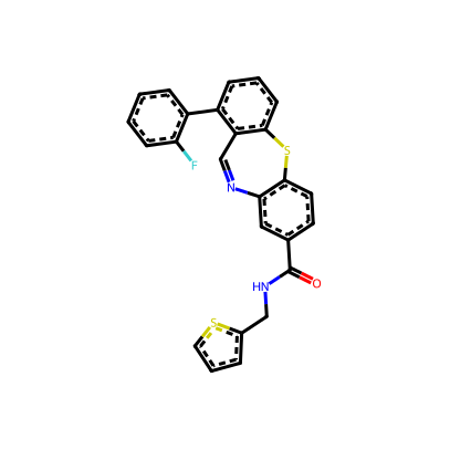 O=C(NCc1cccs1)c1ccc2c(c1)N=Cc1c(cccc1-c1ccccc1F)S2